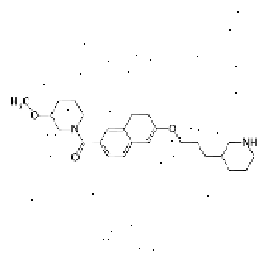 COC1CCCN(C(=O)c2ccc3cc(OCCCC4CCCNC4)ccc3c2)C1